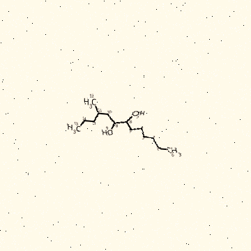 CCCCCCC(O)C(O)CC(C)CCC